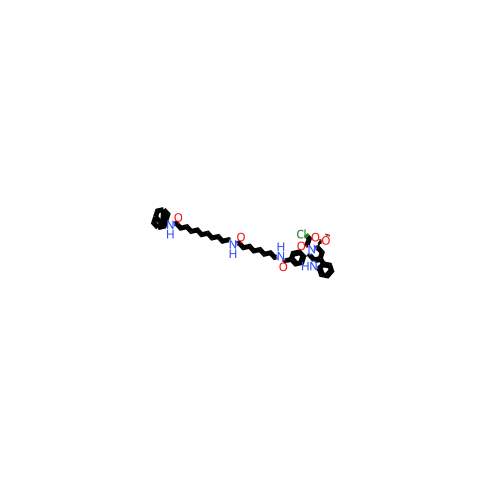 COC(=O)[C@H]1Cc2c([nH]c3ccccc23)[C@H](c2ccc(C(=O)NCCCCCCCC(=O)NCCCCCCCCCCC(=O)NC34CC5CC(CC(C5)C3)C4)cc2)N1C(=O)CCl